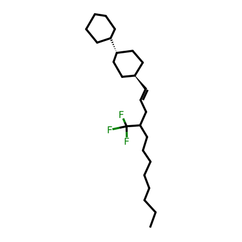 CCCCCCCCC(CC=C[C@H]1CC[C@H](C2CCCCC2)CC1)C(F)(F)F